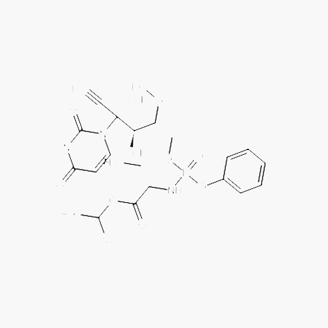 C#C[C@@](O)([C@H](O)[C@@H](COP(=O)(N[C@@H](CC)C(=O)OC(C)C)Oc1ccccc1)OC)n1ccc(=O)[nH]c1=O